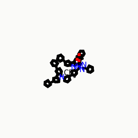 FC(F)(F)c1c(-c2ccc(-c3nc(-c4ccccc4)nc(-c4ccccc4)n3)c(-n3c4ccc(-c5ccccc5)cc4c4cc(-c5ccccc5)ccc43)c2)cccc1-n1c2ccc(-c3ccccc3)cc2c2cc(-c3ccccc3)ccc21